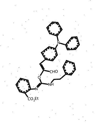 CCOC(=O)c1ccccc1/N=C(/NCCc1ccccc1)O/C(C=O)=C/c1ccc(N(c2ccccc2)c2ccccc2)cc1